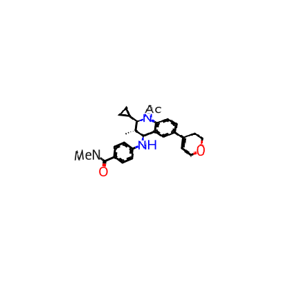 CNC(=O)c1ccc(N[C@@H]2c3cc(C4=CCOCC4)ccc3N(C(C)=O)C(C3CC3)[C@H]2C)cc1